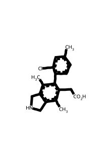 Cc1ccc(-c2c(C)c3c(c(C)c2CC(=O)O)CNC3)c(Cl)c1